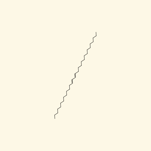 CCCCCCCCCCCCC=CC=CCCCCCCCCCCCCCC